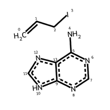 C=CCI.Nc1ncnc2[nH]cnc12